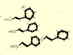 O=C(O)C=Cc1ccccc1.O=C(O)C=Cc1ccccc1.O=C(O)C=Cc1ccccc1.O=C(O)C=Cc1ccccc1.[In]